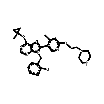 Cc1cc(OCCN2CCNCC2)ncc1-c1nc2c(OC3(C)CC3)ncnc2n1Cc1ccccc1Cl